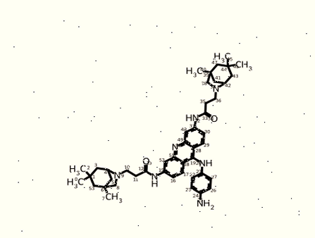 CC1(C)CC2CC(C)(CN2CCC(=O)Nc2ccc3c(Nc4ccc(N)cc4)c4ccc(NC(=O)CCN5CC6(C)CC5CC(C)(C)C6)cc4nc3c2)C1